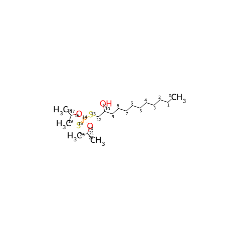 CCCCCCCCCCC(O)CSP(=S)(OC(C)C)OC(C)C